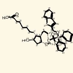 CC(C)(C)[Si](O[C@H](CC[C@@H]1[C@@H](CCCCCCC(=O)O)[C@H](O)C[C@H]1O)c1cc2ccccc2s1)(c1ccccc1)c1ccccc1